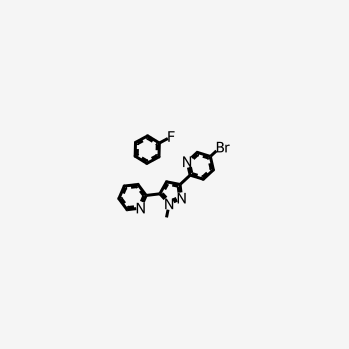 Cn1nc(-c2ccc(Br)cn2)cc1-c1ccccn1.Fc1ccccc1